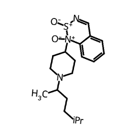 CC(C)CCC(C)N1CCC([N+]2([O-])c3ccccc3C=N[S+]2[O-])CC1